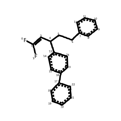 FC(F)=CC(CCc1ccccc1)c1ccc(-c2ccccc2)cc1